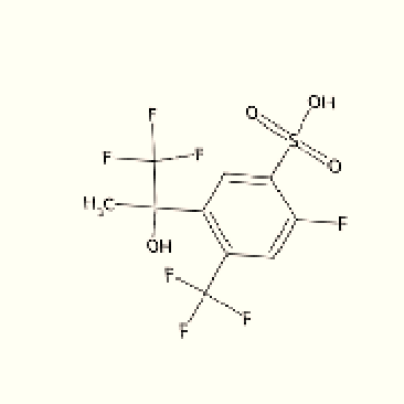 CC(O)(c1cc(S(=O)(=O)O)c(F)cc1C(F)(F)F)C(F)(F)F